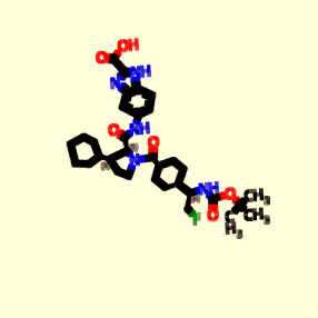 CC(C)(C)OC(=O)N[C@@H](CF)[C@H]1CC[C@@H](C(=O)N2CC[C@@H](C3CCCCC3)[C@H]2C(=O)Nc2ccc3[nH]c(C(=O)O)nc3c2)CC1